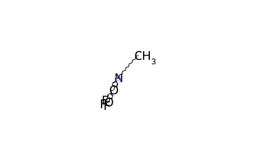 CCCCCCCCCCCC/N=C/c1ccc(OCc2ccc(OC(F)(F)F)cc2)cc1